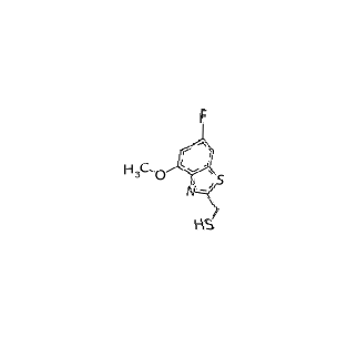 COc1cc(F)cc2sc(CS)nc12